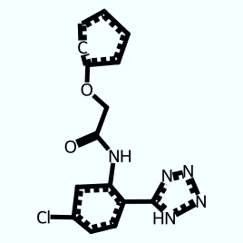 O=C(COc1ccccc1)Nc1cc(Cl)ccc1-c1nnn[nH]1